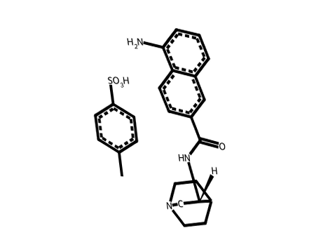 Cc1ccc(S(=O)(=O)O)cc1.Nc1cccc2cc(C(=O)N[C@H]3CN4CCC3CC4)ccc12